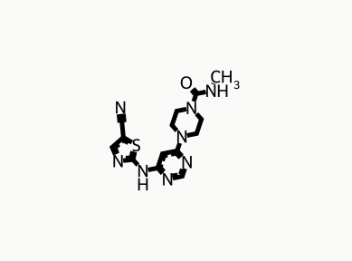 CNC(=O)N1CCN(c2cc(Nc3ncc(C#N)s3)ncn2)CC1